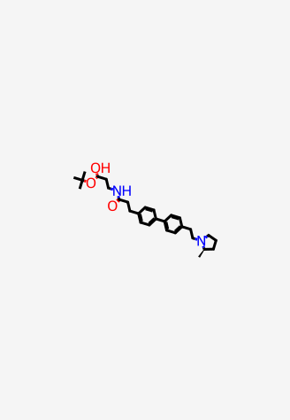 C[C@@H]1CCCN1CCc1ccc(-c2ccc(CCC(=O)NCCC(O)OC(C)(C)C)cc2)cc1